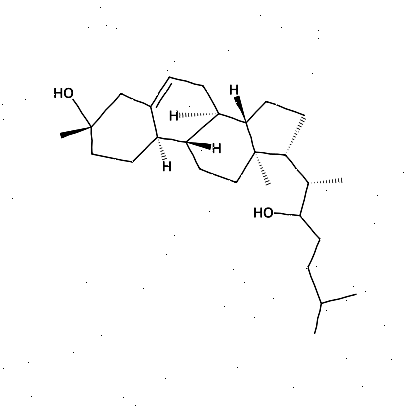 CC(C)CCC(O)[C@@H](C)[C@H]1CC[C@H]2[C@@H]3CC=C4C[C@@](C)(O)CC[C@@H]4[C@H]3CC[C@]12C